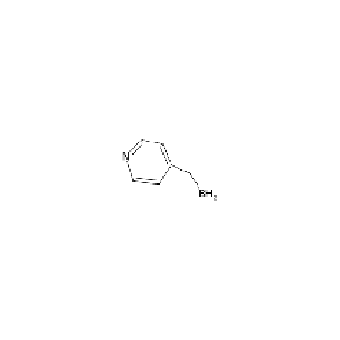 BCc1ccncc1